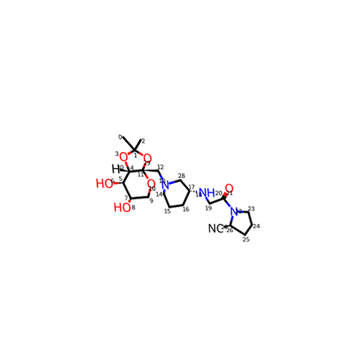 CC1(C)O[C@H]2[C@H](O)[C@H](O)CO[C@@]2(CN2CCC[C@@H](NCC(=O)N3CCC[C@H]3C#N)C2)O1